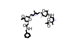 CC(=O)OC(C)/C=C\C(=O)N[C@@H]1C[C@H](C)[C@H](C/C=C(C)/C=C/[C@@H]2C[C@]3(CO3)C[C@@H](CC(=O)NCc3ccccc3)O2)O[C@@H]1C